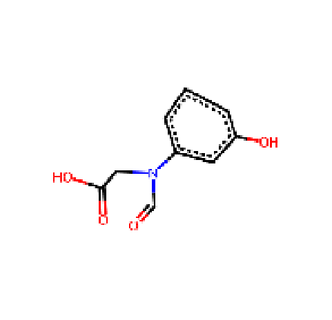 O=CN(CC(=O)O)c1cccc(O)c1